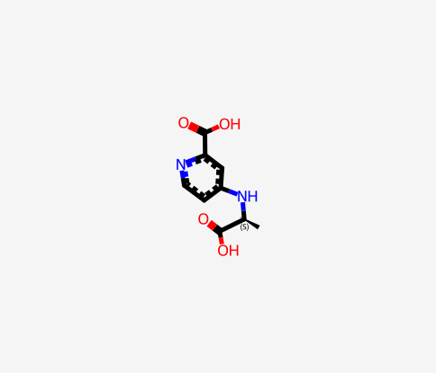 C[C@H](Nc1ccnc(C(=O)O)c1)C(=O)O